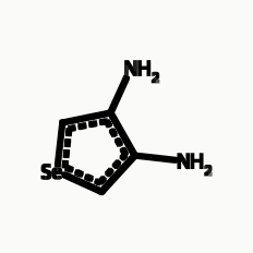 Nc1c[se]cc1N